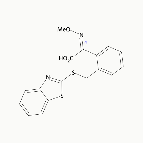 CO/N=C(\C(=O)O)c1ccccc1CSc1nc2ccccc2s1